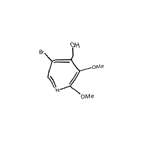 COc1ncc(Br)c(O)c1OC